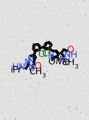 COc1nc(-c2cccc(-c3cccc(-c4cc5c(=O)n(C)c(CNC(C)C)nn5c4)c3Cl)c2Cl)ccc1CN(C)[C@H]1CCC(=O)N1